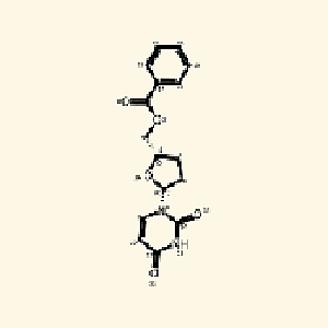 O=C(OC[C@@H]1CC[C@H](n2ccc(=O)[nH]c2=O)O1)c1ccccc1